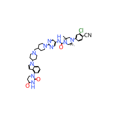 C[C@@H]1CN(C(=O)Nc2cnc(N3CCC(CN4CCC(n5ccc6c(N7CCC(=O)NC7=O)cccc65)CC4)CC3)nc2)[C@@H](C)CN1c1ccc(C#N)c(Cl)c1